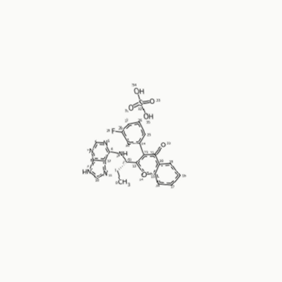 CC[C@H](Nc1ncnc2[nH]cnc12)c1oc2ccccc2c(=O)c1-c1cccc(F)c1.O=S(=O)(O)O